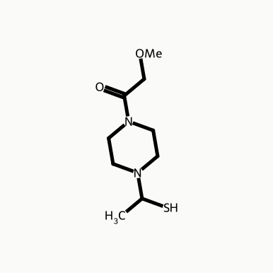 COCC(=O)N1CCN(C(C)S)CC1